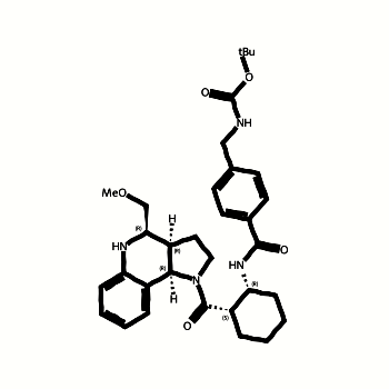 COC[C@@H]1Nc2ccccc2[C@H]2[C@@H]1CCN2C(=O)[C@H]1CCCC[C@H]1NC(=O)c1ccc(CNC(=O)OC(C)(C)C)cc1